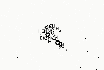 C=CC(=O)Nc1cc(Nc2cc(-c3ccc4c(cnn4C)c3)ncn2)c(OCC)cc1N(C)C1CCN(C)C1